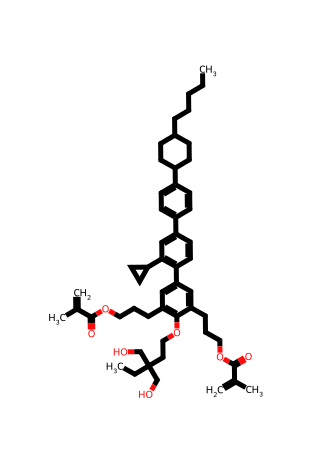 C=C(C)C(=O)OCCCc1cc(-c2ccc(-c3ccc(C4CCC(CCCCC)CC4)cc3)cc2C2CC2)cc(CCCOC(=O)C(=C)C)c1OCCC(CC)(CO)CO